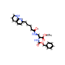 CC(C)(C)OC(=O)C(CNC(=O)CCCCc1ccc2c(n1)NCCC2)NC(=O)OCc1ccccc1